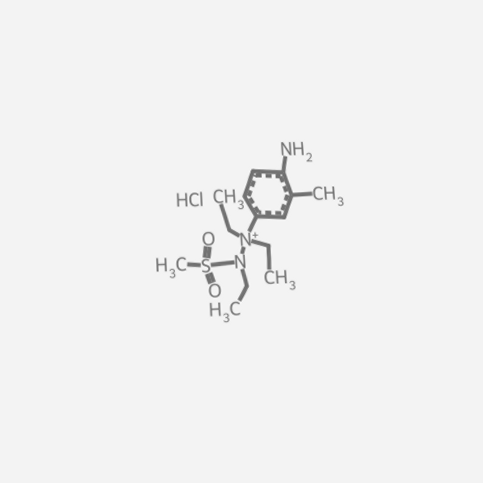 CCN([N+](CC)(CC)c1ccc(N)c(C)c1)S(C)(=O)=O.Cl